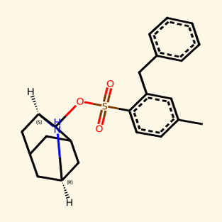 Cc1ccc(S(=O)(=O)OC2C3CC4C[C@H](C3)N[C@H]2C4)c(Cc2ccccc2)c1